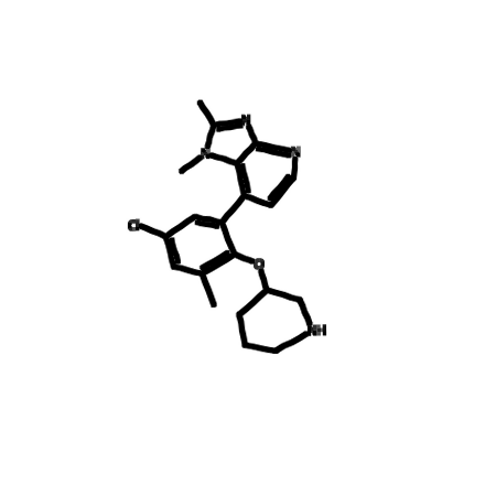 Cc1cc(Cl)cc(-c2ccnc3nc(C)n(C)c23)c1OC1CCCNC1